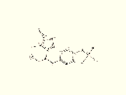 CCN(Cc1ccc(OC(F)(F)F)cc1)c1ssc(=O)c1Cl